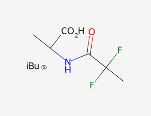 CC[C@H](C)C(C)(NC(=O)C(C)(F)F)C(=O)O